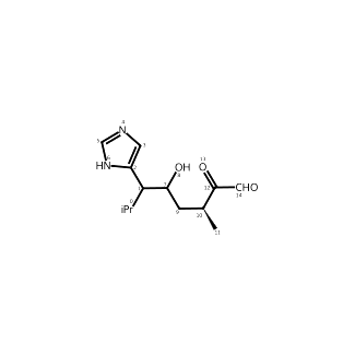 CC(C)C(c1cnc[nH]1)C(O)C[C@H](C)C(=O)C=O